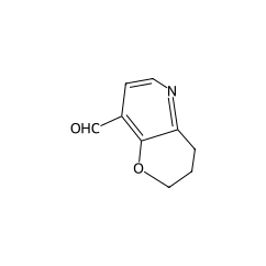 O=Cc1ccnc2c1OCCC2